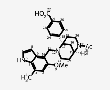 COc1cc(C)c2[nH]ccc2c1CN1CC[C@H]2C[C@]1(c1ccc(C(=O)O)cc1)CCN2C(C)=O